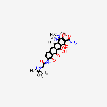 CN(C)C1(N(C)C)C(O)=C(C(N)=O)C(=O)C2(O)C(O)=C3C(=O)c4c(ccc(NC(=O)CNC(C)(C)C)c4O)CC3CC21